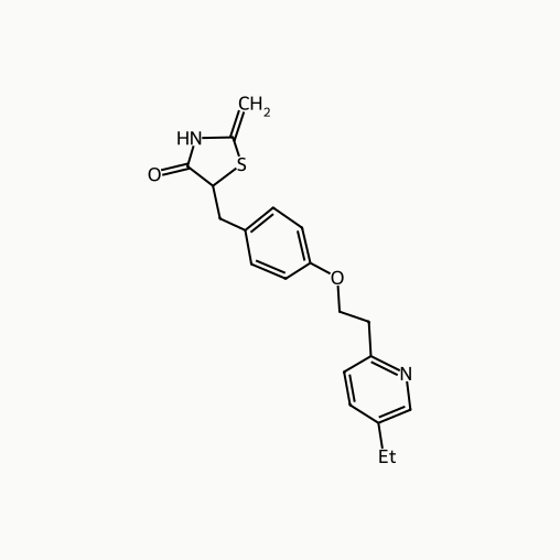 C=C1NC(=O)C(Cc2ccc(OCCc3ccc(CC)cn3)cc2)S1